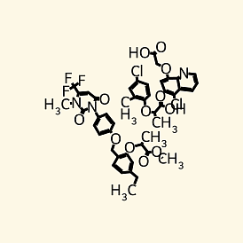 CCc1ccc(COc2ccc(-n3c(=O)cc(C(F)(F)F)n(C)c3=O)cc2)c(OC(C)C(=O)OC)c1.Cc1cc(Cl)ccc1OC(C)C(=O)O.O=C(O)COc1ccc(Cl)c2cccnc12